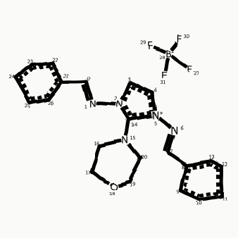 C(=Nn1cc[n+](N=Cc2ccccc2)c1N1CCOCC1)c1ccccc1.F[B-](F)(F)F